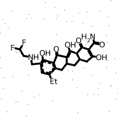 CCc1cc(CNCC(F)F)c(O)c2c1CC1CC3CC(O)=C(C(N)=O)C(=O)C3C(O)=C1C2=O